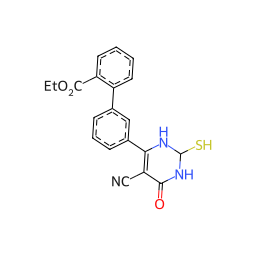 CCOC(=O)c1ccccc1-c1cccc(C2=C(C#N)C(=O)NC(S)N2)c1